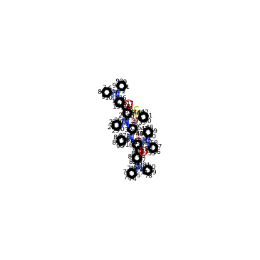 c1ccc(N(c2ccccc2)c2ccc3c(c2)oc2c4c5c(cc23)N(c2ccccc2)c2cc3c(cc2B5c2ccccc2S4)B2c4ccccc4N(c4ccccc4)c4c2c(cc2c4oc4cc(N(c5ccccc5)c5ccccc5)ccc42)N3c2ccccc2)cc1